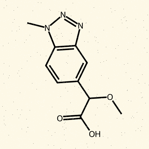 COC(C(=O)O)c1ccc2c(c1)nnn2C